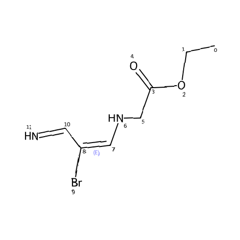 CCOC(=O)CN/C=C(/Br)C=N